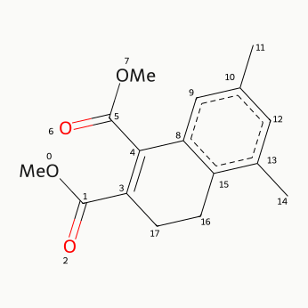 COC(=O)C1=C(C(=O)OC)c2cc(C)cc(C)c2CC1